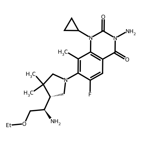 CCOC[C@H](N)[C@H]1CN(c2c(F)cc3c(=O)n(N)c(=O)n(C4CC4)c3c2C)CC1(C)C